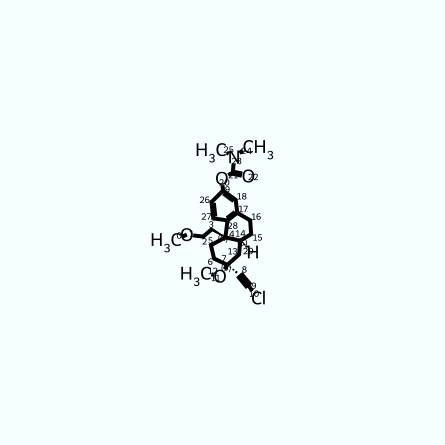 COCC[C@]12CC[C@](C#CCl)(OC)C[C@@H]1CCc1cc(OC(=O)N(C)C)ccc12